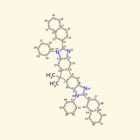 CC1(C)c2cc3c(cc2-c2cc4nc(-c5ccc6ccccc6c5)n(-c5ccccc5)c4cc21)nc(-c1ccc2ccccc2c1)n3-c1ccccc1